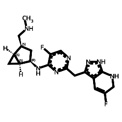 CNC[C@H]1C[C@@H](Nc2nc(Cc3n[nH]c4c3C=C(F)CN4)ncc2F)[C@H]2C[C@@H]12